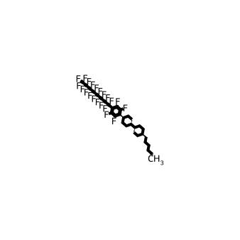 CCCCCC[C@H]1CC[C@H]([C@H]2CC[C@H](c3c(F)c(F)c(C(F)(F)C(F)(F)C(F)(F)C(F)(F)C(F)(F)C(F)(F)C(F)(F)C(F)(F)F)c(F)c3F)CC2)CC1